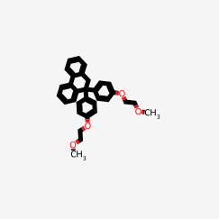 COCCOc1ccc(C2(c3ccc(OCCOC)cc3)Cc3ccccc3-c3ccccc32)cc1